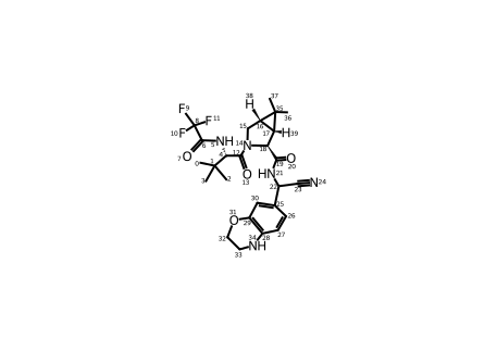 CC(C)(C)[C@H](NC(=O)C(F)(F)F)C(=O)N1C[C@H]2[C@@H]([C@H]1C(=O)NC(C#N)c1ccc3c(c1)OCCN3)C2(C)C